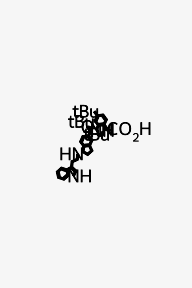 CC(C)(C)c1ccc(N(C(=O)O)C(C)(C)C)c(NC(=O)c2ccc3c(c2)CCC3NCCc2c[nH]c3ccccc23)c1C(C)(C)C